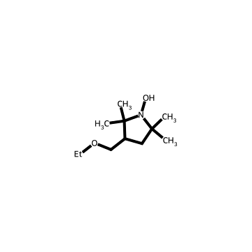 CCOCC1CC(C)(C)N(O)C1(C)C